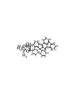 CC1(C)OB(C2=CC3C(C=C2)C2C=CC=CC2C32c3ccccc3-c3c2cc2c4c(cccc34)-c3ccccc3-2)OC1(C)C